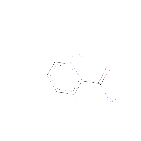 NC(=O)c1ccccn1.[Co]